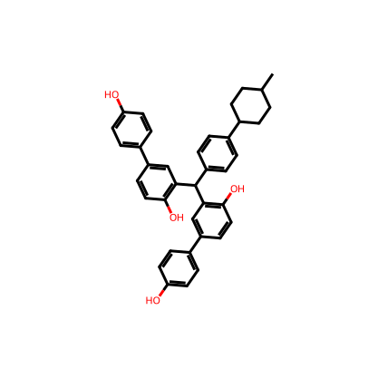 CC1CCC(c2ccc(C(c3cc(-c4ccc(O)cc4)ccc3O)c3cc(-c4ccc(O)cc4)ccc3O)cc2)CC1